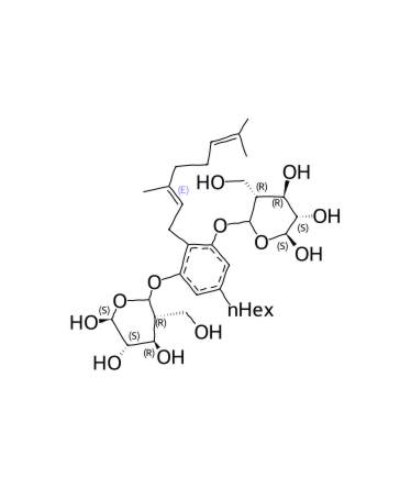 CCCCCCc1cc(OC2O[C@H](O)[C@@H](O)[C@H](O)[C@H]2CO)c(C/C=C(\C)CCC=C(C)C)c(OC2O[C@H](O)[C@@H](O)[C@H](O)[C@H]2CO)c1